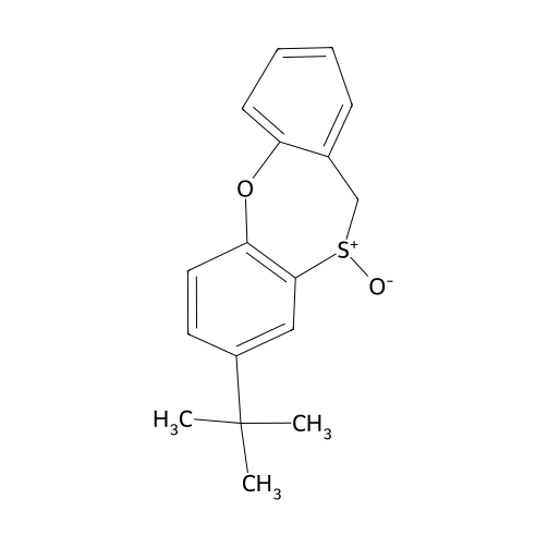 CC(C)(C)c1ccc2c(c1)[S+]([O-])Cc1ccccc1O2